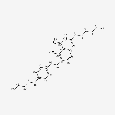 CCCCCCc1cc2ccc(CCc3ccc(CCCCC)cc3)c(F)c2c(=O)o1